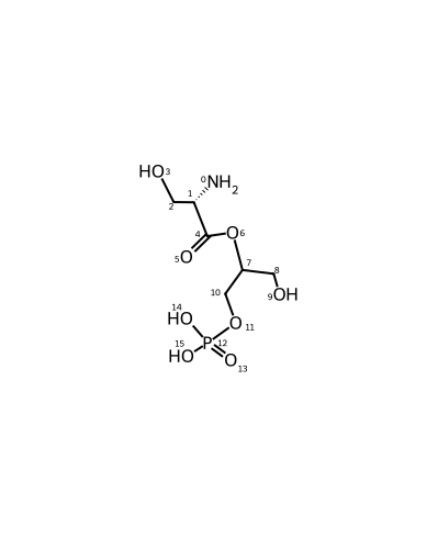 N[C@@H](CO)C(=O)OC(CO)COP(=O)(O)O